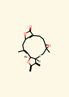 C=C1O[C@H]2/C=C(\C)CC3C=C(CCC4OC4(C)CC[C@@H]2C1=C)C(=O)O3